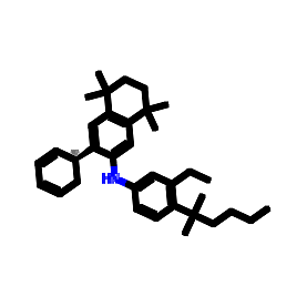 CCCCC(C)(C)c1ccc(Nc2cc3c(cc2[C@@H]2C=CC=CC2)C(C)(C)CCC3(C)C)cc1CC